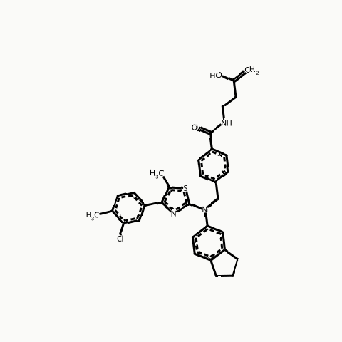 C=C(O)CCNC(=O)c1ccc(CN(c2ccc3c(c2)CCC3)c2nc(-c3ccc(C)c(Cl)c3)c(C)s2)cc1